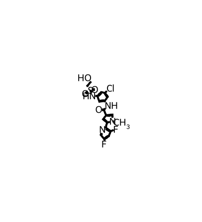 Cn1cc(C(=O)Nc2cc(Cl)cc(NS(=O)(=O)CCO)c2)cc1-c1ncc(F)cc1F